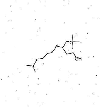 CC(C)CCCCC[C@H](CCO)CC(C)(C)C